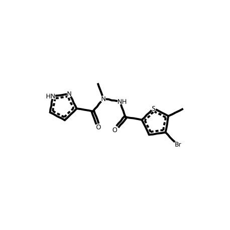 Cc1sc(C(=O)NN(C)C(=O)c2cc[nH]n2)cc1Br